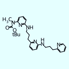 CN(C(=O)OC(C)(C)C)c1cccc(NCCCc2cccc(NCCCc3ccccn3)n2)n1